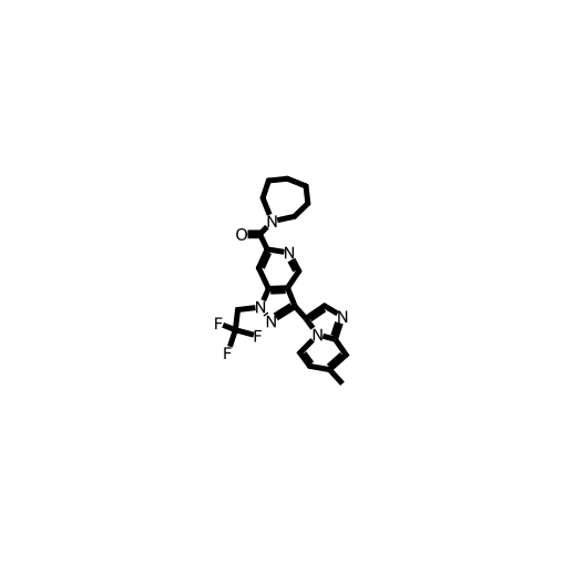 Cc1ccn2c(-c3nn(CC(F)(F)F)c4cc(C(=O)N5CCCCCC5)ncc34)cnc2c1